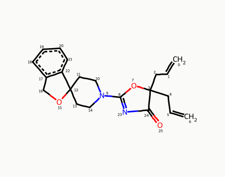 C=CCC1(CC=C)OC(N2CCC3(CC2)OCc2ccccc23)=NC1=O